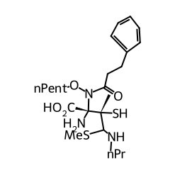 CCCCCON(C(=O)CCc1ccccc1)[C@](N)(C(=O)O)[C@](C)(S)C(NCCC)SC